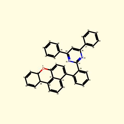 C1=CC2Oc3ccc(-c4ccccc4-c4nc(-c5ccccc5)cc(-c5ccccc5)n4)c4cccc(c34)C2C=C1